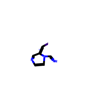 N=CN1C=CN=C/C1=C/I